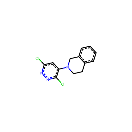 Clc1cc(N2CCc3ccccc3C2)c(Cl)nn1